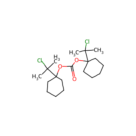 CC(C)(Cl)C1(OC(=O)OC2(C(C)(C)Cl)CCCCC2)CCCCC1